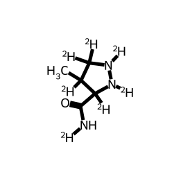 [2H]NC(=O)C1([2H])N([2H])N([2H])C([2H])([2H])C1([2H])C